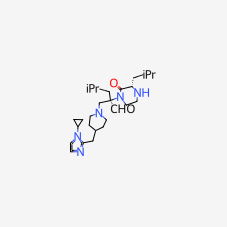 CC(C)C[C@@H]1NCCN([C@](C=O)(CC(C)C)CN2CCC(Cc3nccn3C3CC3)CC2)C1=O